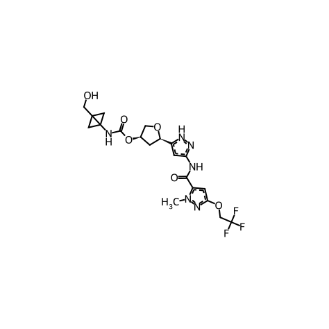 Cn1nc(OCC(F)(F)F)cc1C(=O)Nc1cc([C@H]2C[C@@H](OC(=O)NC34CC3(CO)C4)CO2)[nH]n1